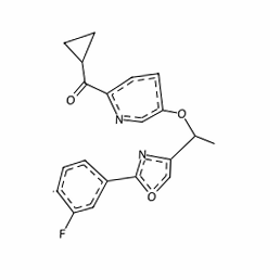 CC(Oc1ccc(C(=O)C2CC2)nc1)c1coc(-c2cc[c]c(F)c2)n1